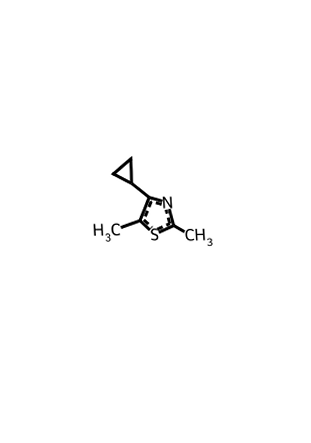 Cc1nc(C2CC2)c(C)s1